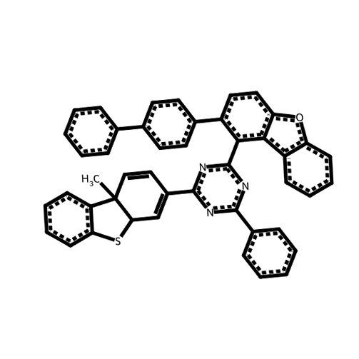 CC12C=CC(c3nc(-c4ccccc4)nc(-c4c(-c5ccc(-c6ccccc6)cc5)ccc5oc6ccccc6c45)n3)=CC1Sc1ccccc12